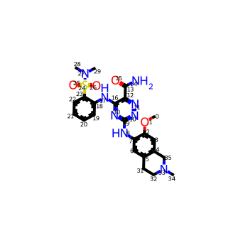 COc1cc2c(cc1Nc1nnc(C(N)=O)c(Nc3ccccc3S(=O)(=O)N(C)C)n1)CCN(C)C2